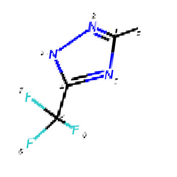 CC1=N[N]C(C(F)(F)F)=N1